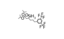 CC(C)OC(CCCCCc1cc(C(F)(F)F)cc(C(F)(F)F)c1)(O[SiH3])OC(C)C